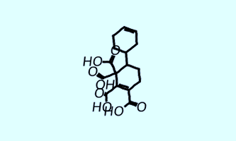 O=C(O)C1=C(C(=O)O)C(C(=O)O)(C(=O)O)C(C2CC=CCC2)CC1